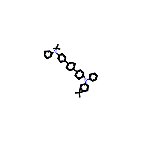 CC1(C)c2ccc(N(c3ccccc3)c3ccc(-c4ccc(-c5ccc(N(c6ccccc6)C(C)(C)C)cc5)cc4)cc3)cc21